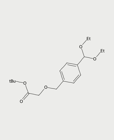 CCOC(OCC)c1ccc(COCC(=O)OC(C)(C)C)cc1